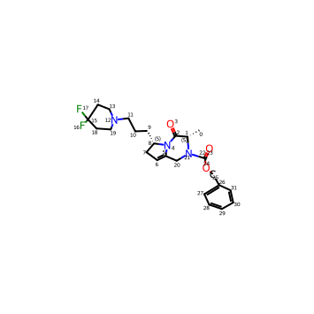 C[C@H]1C(=O)N2C(=CC[C@@H]2CCCN2CCC(F)(F)CC2)CN1C(=O)OCc1ccccc1